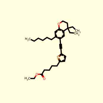 CCCCCCc1cc2c(cc1C#Cc1ccc(CCCCC(=O)OCC)s1)C(CC)(CC)CCO2